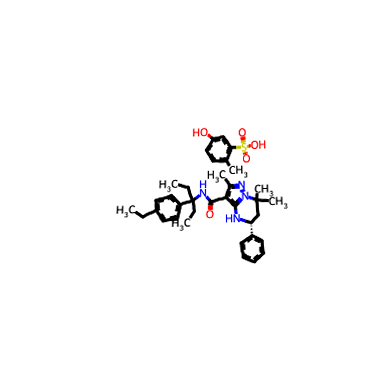 CCc1ccc(C(CC)(CC)NC(=O)c2c(C)nn3c2N[C@@H](c2ccccc2)CC3(C)C)cc1.Cc1ccc(O)cc1S(=O)(=O)O